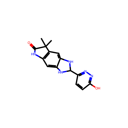 CC1(C)C(=O)Nc2cc3c(cc21)NC(c1ccc(O)nn1)N3